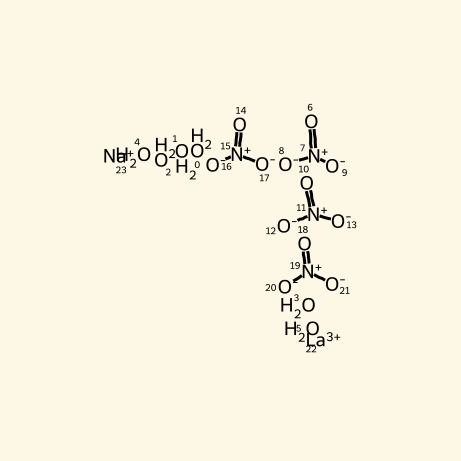 O.O.O.O.O.O.O=[N+]([O-])[O-].O=[N+]([O-])[O-].O=[N+]([O-])[O-].O=[N+]([O-])[O-].[La+3].[Na+]